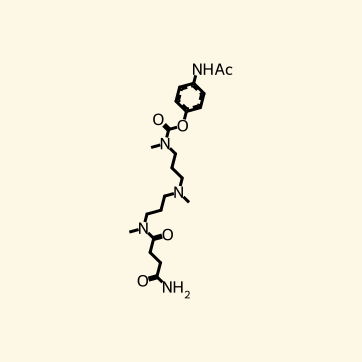 CC(=O)Nc1ccc(OC(=O)N(C)CCCN(C)CCCN(C)C(=O)CCC(N)=O)cc1